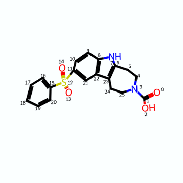 O=C(O)N1CCc2[nH]c3ccc(S(=O)(=O)c4ccccc4)cc3c2CC1